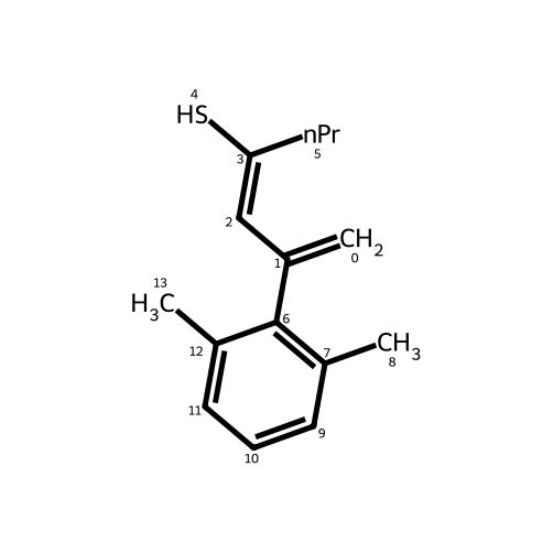 C=C(/C=C(/S)CCC)c1c(C)cccc1C